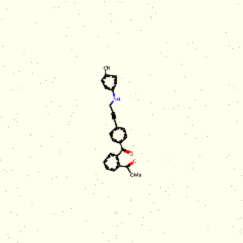 COC(=O)c1ccccc1C(=O)c1ccc(C#CCNc2ccc(C#N)cc2)cc1